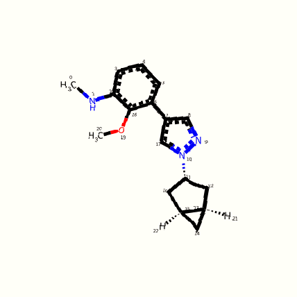 CNc1cccc(-c2cnn([C@@H]3C[C@H]4C[C@H]4C3)c2)c1OC